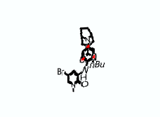 CCCCOC(=O)N1CC2CCC(C1)N2c1ccc(Nc2cc(Br)cn(C)c2=O)nc1